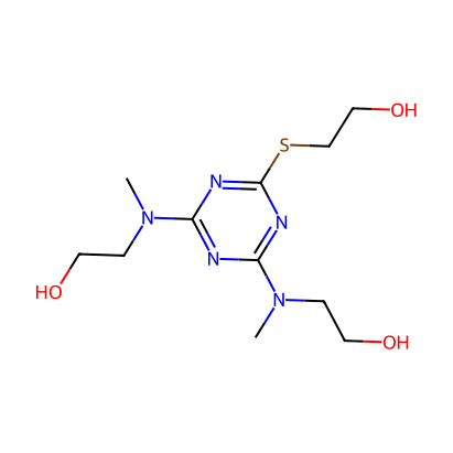 CN(CCO)c1nc(SCCO)nc(N(C)CCO)n1